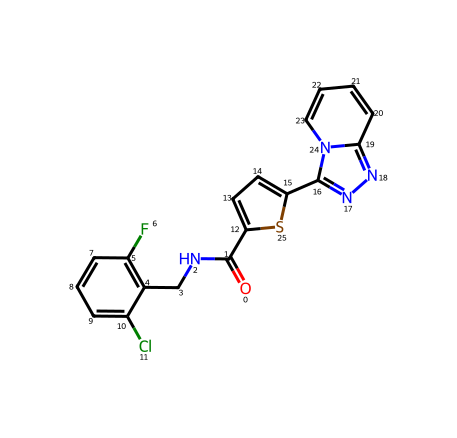 O=C(NCc1c(F)cccc1Cl)c1ccc(-c2nnc3ccccn23)s1